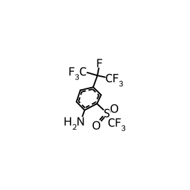 Nc1ccc(C(F)(C(F)(F)F)C(F)(F)F)cc1S(=O)(=O)C(F)(F)F